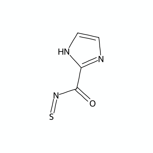 O=C(N=S)c1ncc[nH]1